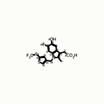 Cc1c(CC(=O)O)c2cc(O)c(F)cc2n1Cc1csc(SC(F)(F)F)c1